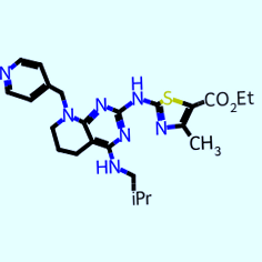 CCOC(=O)c1sc(Nc2nc(NCC(C)C)c3c(n2)N(Cc2ccncc2)CCC3)nc1C